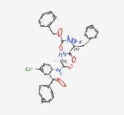 C[C@H](NC(=O)[C@H](Cc1ccccc1)NC(=O)OCc1ccccc1)C(=O)N(C)c1ccc(Cl)cc1C(=O)c1ccccc1